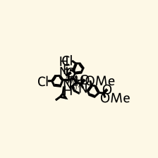 COC(=O)c1ccc(N2CC[C@H]3[C@@H](C2=O)[C@H](c2cccc(Cl)c2F)[C@]2(C(=O)Nc4cc(Cl)ccc42)N3CC2CC2C)c(OC)c1